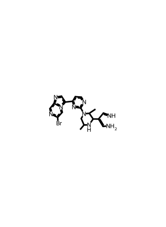 CC1CN(c2nccc(-c3cnc4cnc(Br)cn34)n2)C(C)C(/C(C=N)=C/N)N1